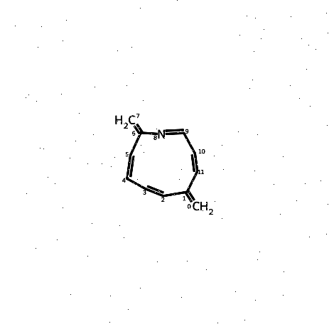 C=c1ccccc(=C)nccc1